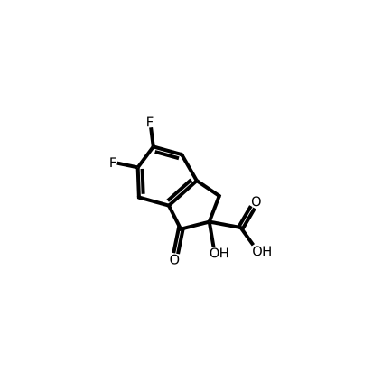 O=C(O)C1(O)Cc2cc(F)c(F)cc2C1=O